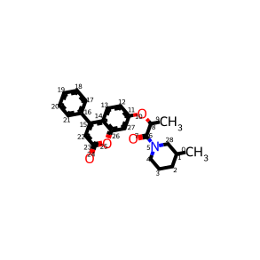 CC1CCCN(C(=O)C(C)Oc2ccc3c(-c4ccccc4)cc(=O)oc3c2)C1